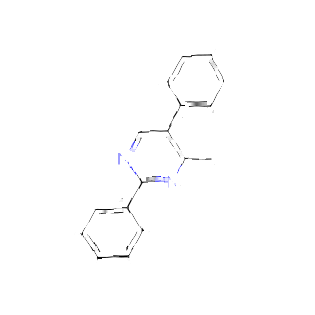 Cc1nc(-c2ccccc2)ncc1-c1ccccc1